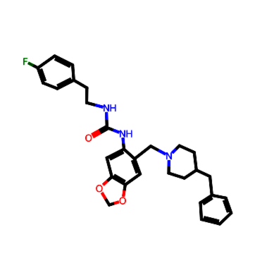 O=C(NCCc1ccc(F)cc1)Nc1cc2c(cc1CN1CCC(Cc3ccccc3)CC1)OCO2